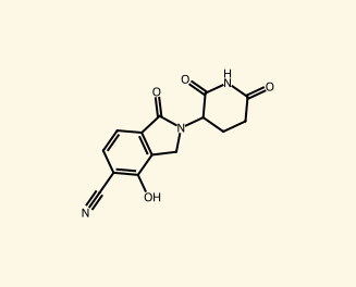 N#Cc1ccc2c(c1O)CN(C1CCC(=O)NC1=O)C2=O